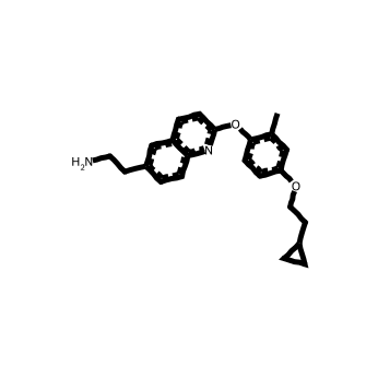 Cc1cc(OCCC2CC2)ccc1Oc1ccc2cc(CCN)ccc2n1